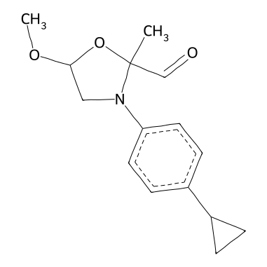 COC1CN(c2ccc(C3CC3)cc2)C(C)(C=O)O1